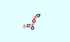 Cc1ccc(S(=O)(=O)Oc2ccc(OC(Oc3ccc(OS(=O)(=O)F)cc3)c3ccccc3)cc2)cc1